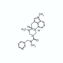 CN(Cc1cccnc1)C(=O)[C@@H]1C[C@@H]2c3cccc4c3c(cn4C)C[C@H]2N(C)C1